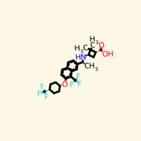 C[C@H](N[C@@H]1C[C@@H](C(=O)O)C1(C)C)c1ccc2ccc(O[C@H]3CC[C@@H](C(F)(F)F)CC3)c(C(F)(F)F)c2c1